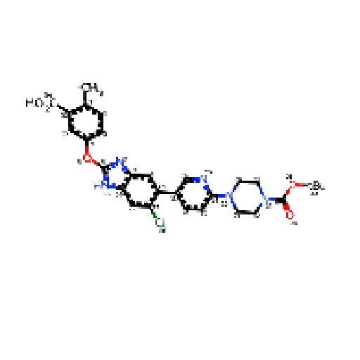 Cc1ccc(Oc2nc3cc(-c4ccc(N5CCN(C(=O)OC(C)(C)C)CC5)nc4)c(Cl)cc3[nH]2)cc1C(=O)O